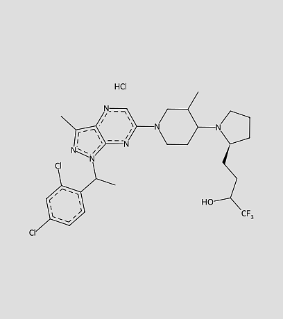 Cc1nn(C(C)c2ccc(Cl)cc2Cl)c2nc(N3CCC(N4CCC[C@H]4CCC(O)C(F)(F)F)C(C)C3)cnc12.Cl